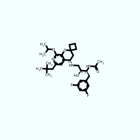 CC(=O)N[C@@H](Cc1cc(F)cc(F)c1)[C@@H](O)CN[C@H]1CC2(CCC2)Oc2c1cc(CC(C)(C)C)nc2OC(C)C